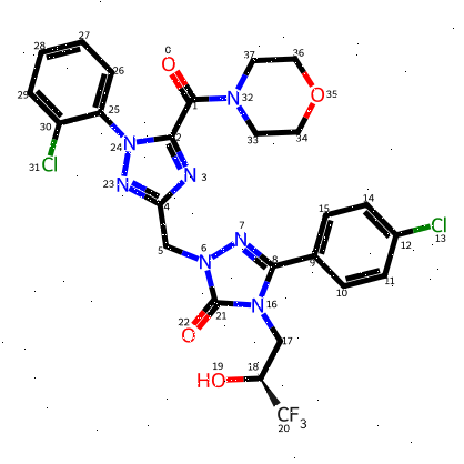 O=C(c1nc(Cn2nc(-c3ccc(Cl)cc3)n(C[C@H](O)C(F)(F)F)c2=O)nn1-c1ccccc1Cl)N1CCOCC1